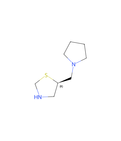 C1CCN(C[C@H]2CNCS2)C1